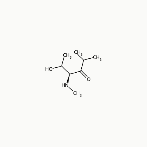 CN[C@H](C(=O)C(C)C)C(C)O